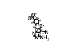 N#Cc1c(Br)n(Cc2cccc([N+](=O)[O-])c2)c2ncnc(N)c12